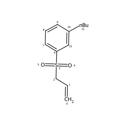 C=CCS(=O)(=O)c1cccc(CCCC)c1